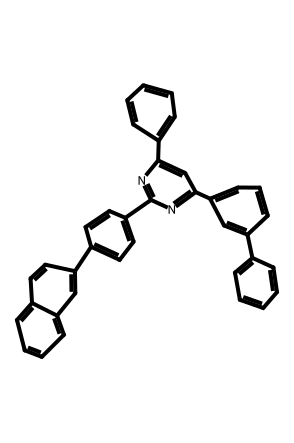 c1ccc(-c2cccc(-c3cc(-c4ccccc4)nc(-c4ccc(-c5ccc6ccccc6c5)cc4)n3)c2)cc1